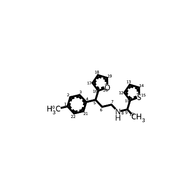 Cc1ccc(C(CCNC(C)c2cccs2)c2ccco2)cc1